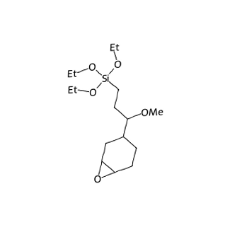 CCO[Si](CCC(OC)C1CCC2OC2C1)(OCC)OCC